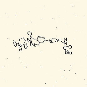 CC(C)(C)OC(=O)NCCN1CCN(c2ccc3c(=O)n(C4CCC(=O)NC4=O)ncc3c2)CC1